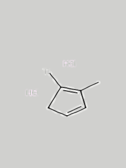 CC1=[C]([Ti])CC=C1.Cl.Cl